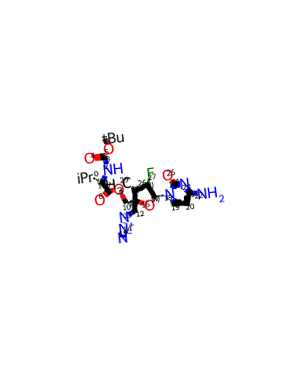 CC(C)[C@H](NC(=O)OC(C)(C)C)C(=O)OC[C@@]1(CN=[N+]=[N-])O[C@@H](n2ccc(N)nc2=O)[C@H](F)[C@@H]1C